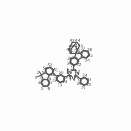 CC1(C)c2ccccc2-c2c(-c3cccc(-c4nc(-c5ccccc5)nc(-c5ccc6c(c5)-c5ccccc5C65C6CC7CC(C6)CC5C7)n4)c3)cccc21